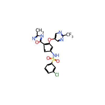 Cc1noc(-c2ccc(NS(=O)(=O)c3cccc(Cl)c3)cc2Oc2cnc(C(F)(F)F)nc2)n1